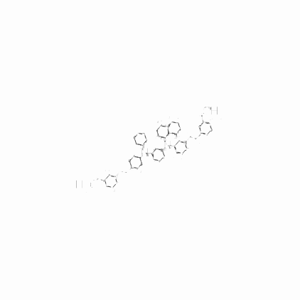 C=Cc1cccc(CCc2ccc(N(c3ccccc3)c3cccc(N(c4cccc(CCc5cccc(C=C)c5)c4)c4cccc5ccccc45)c3)cc2)c1